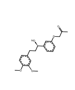 COc1ccc(CC[C@@H](O)c2cccc(OCC(C)=O)c2)cc1OC